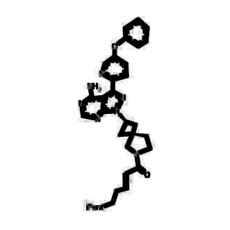 CCCC(C)CC/C=C/C(=O)N1CC[C@]2(C1)C[C@H](n1nc(-c3ccc(Oc4ccccc4)cn3)c3c(N)ncnc31)C2